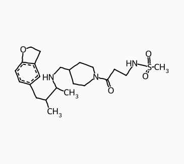 CC(Cc1ccc2c(c1)CCO2)C(C)NCC1CCN(C(=O)CCNS(C)(=O)=O)CC1